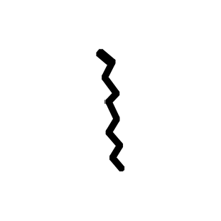 C=CCC[CH]CCCCC